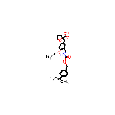 CCOc1ccc(CC2(C(=O)O)CCCO2)cc1CNC(=O)OCc1ccc(C(C)C)cc1